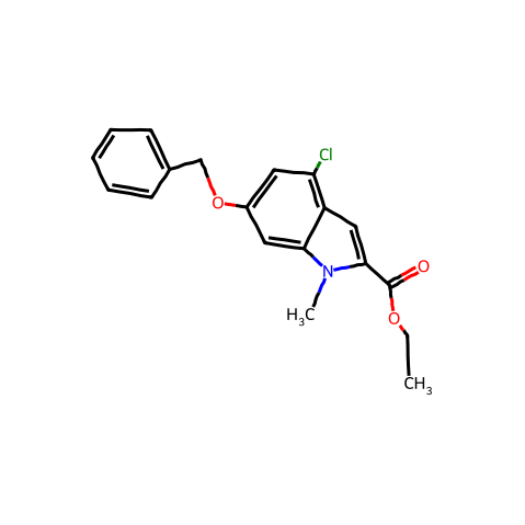 CCOC(=O)c1cc2c(Cl)cc(OCc3ccccc3)cc2n1C